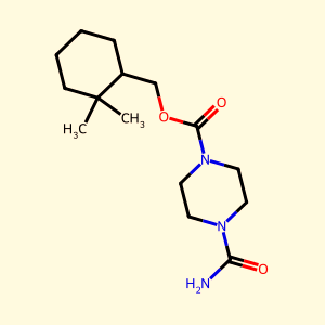 CC1(C)CCCCC1COC(=O)N1CCN(C(N)=O)CC1